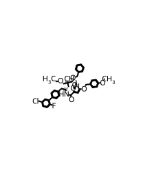 CCOC[C@](C)(C[C@@H](Cc1ccc(-c2cc(Cl)ccc2F)cc1)NC(=O)c1cc(OCc2ccc(OC)cc2)no1)C(=O)OCc1ccccc1